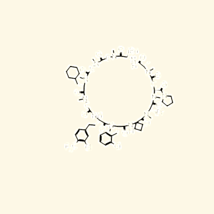 CC[C@H](C)[C@@H]1NC(=O)[C@H](C)N(C)C(=O)C[C@@H](C(=O)N2CCCC2)N(C)C(=O)[C@H](C(C)C)N(C)C(=O)C2(CCC2)NC(=O)[C@H](Cc2ccccc2Cl)N(C)C(=O)[C@H](CCc2ccc(C(F)(F)F)c(Cl)c2)NC(=O)CN(C)C(=O)[C@H](CC2CCCCC2)N(C)C(=O)CN(C)C(=O)CN(C)C1=O